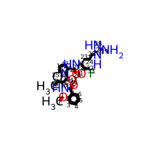 COc1ccccc1C(=O)NC(C(=O)N1CCC[C@H]1C(=O)N[C@@H](CCCNC(=N)N)C(=O)CF)C(C)C